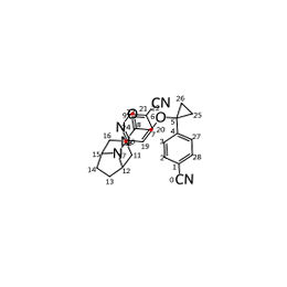 N#Cc1ccc(C2(OCC(=O)N3CC4CCC(C3)N4c3ccc(C#N)cn3)CC2)cc1